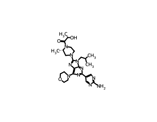 CC(C)Cn1c(N2CCN(C(=O)[C@H](C)O)[C@@H](C)C2)nc2c(N3CCOCC3)nc(-c3cnc(N)nc3)nc21